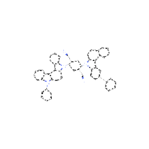 N#Cc1cc(-n2c3ccccc3c3c4c5ccccc5n(-c5ccccc5)c4ccc32)c(C#N)cc1-n1c2ccc(-c3ccccc3)cc2c2c3ccccc3ccc21